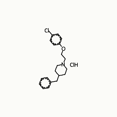 Cl.Clc1ccc(OCCN2CCC(Cc3ccccc3)CC2)cc1